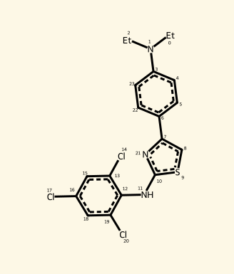 CCN(CC)c1ccc(-c2csc(Nc3c(Cl)cc(Cl)cc3Cl)n2)cc1